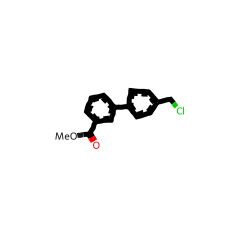 COC(=O)c1cccc(-c2ccc(CCl)cc2)c1